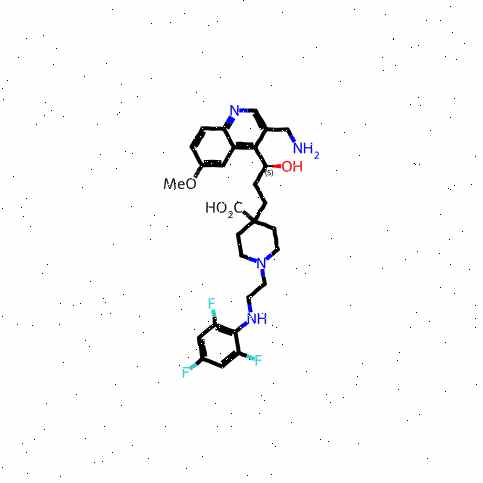 COc1ccc2ncc(CN)c([C@@H](O)CCC3(C(=O)O)CCN(CCNc4c(F)cc(F)cc4F)CC3)c2c1